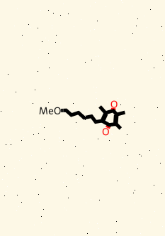 COCCCCCCC1=C(C)C(=O)C(C)=C(C)C1=O